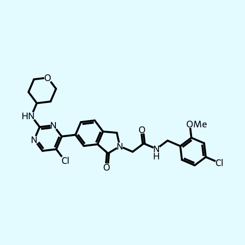 COc1cc(Cl)ccc1CNC(=O)CN1Cc2ccc(-c3nc(NC4CCOCC4)ncc3Cl)cc2C1=O